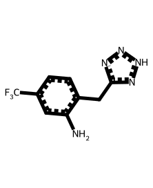 Nc1cc(C(F)(F)F)ccc1Cc1nn[nH]n1